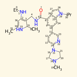 CCNC1=C(CNC(=O)c2cc(-c3ccc(N4CCN(C)CC4)nc3)cc3c2ccn3C(C)C)C(C)NC(C)=C1